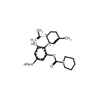 C=C(C)[C@@H]1CCC(C)=C[C@H]1c1c(O)cc(CCCCC)cc1OC(=O)N1CCCCC1